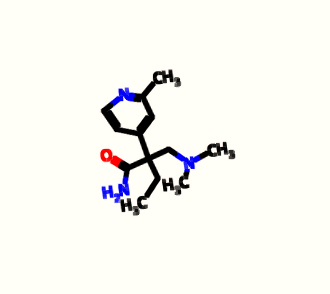 CCC(CN(C)C)(C(N)=O)c1ccnc(C)c1